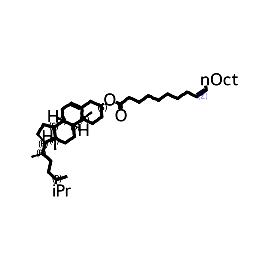 CCCCCCCC/C=C\CCCCCCCC(=O)O[C@H]1CC[C@@]2(C)C(=CC[C@H]3[C@@H]4CC[C@H]([C@H](C)CC[C@@H](C)C(C)C)[C@@]4(C)CC[C@@H]32)C1